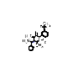 C=C(C)/C(C(=C)NCc1cccc(C(C)(F)F)c1)=C(/N)C1=CC=CC1